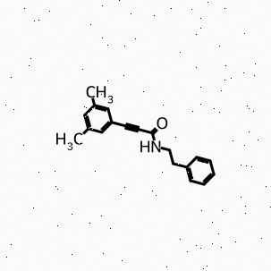 Cc1cc(C)cc(C#CC(=O)NCCc2ccccc2)c1